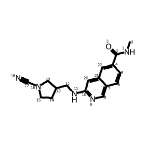 CNC(=O)c1ccc2cnc(NCC3CCN(C#N)C3)cc2c1